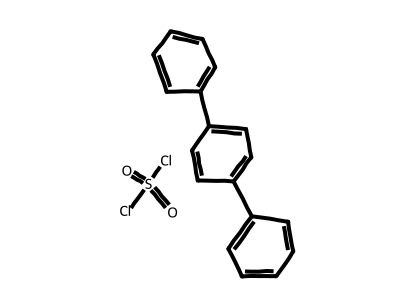 O=S(=O)(Cl)Cl.c1ccc(-c2ccc(-c3ccccc3)cc2)cc1